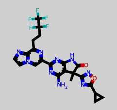 CC1(c2noc(C3CC3)n2)C(=O)Nc2nc(-c3cn4ccnc4c(CCC(F)(F)C(F)(F)F)n3)nc(N)c21